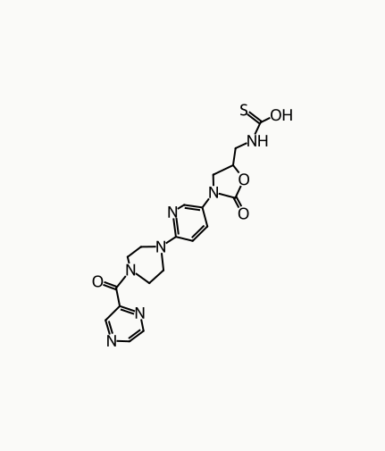 O=C(c1cnccn1)N1CCN(c2ccc(N3CC(CNC(O)=S)OC3=O)cn2)CC1